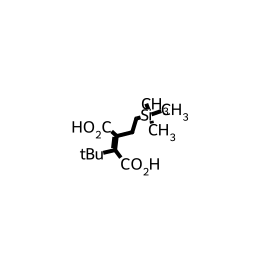 CC(C)(C)/C(C(=O)O)=C(/CC[Si](C)(C)C)C(=O)O